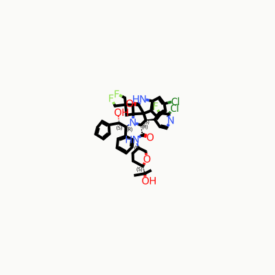 CC(C)(O)[C@@H]1CC[C@@H](NC(=O)[C@H]2[C@H](c3ccnc(Cl)c3F)C3(C(=O)Nc4cc(Cl)ccc43)C3(CC(CF)(CF)C3)N2[C@H](c2ccccc2)[C@@H](O)c2ccccc2)CO1